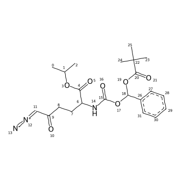 CC(C)OC(=O)C(CCC(=O)C=[N+]=[N-])NC(=O)OC(OC(=O)C(C)(C)C)c1ccccc1